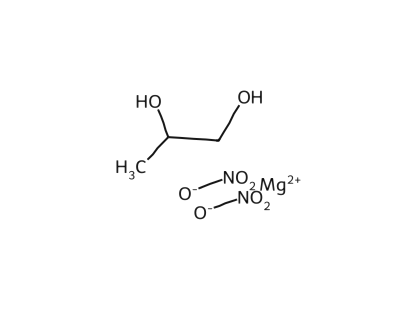 CC(O)CO.O=[N+]([O-])[O-].O=[N+]([O-])[O-].[Mg+2]